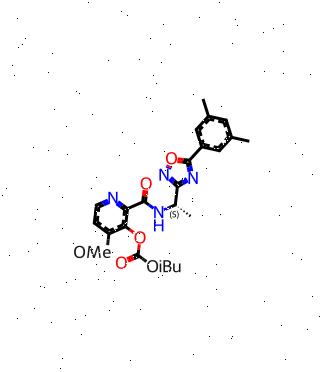 COc1ccnc(C(=O)N[C@@H](C)c2noc(-c3cc(C)cc(C)c3)n2)c1OC(=O)OCC(C)C